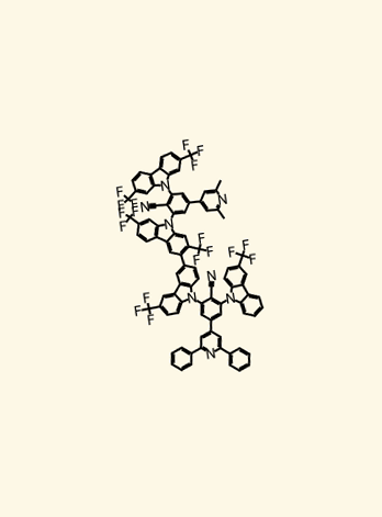 Cc1cc(-c2cc(-n3c4cc(C(F)(F)F)ccc4c4ccc(C(F)(F)F)cc43)c(C#N)c(-n3c4cc(C(F)(F)F)ccc4c4cc(-c5ccc6c(c5)c5cc(C(F)(F)F)ccc5n6-c5cc(-c6cc(-c7ccccc7)nc(-c7ccccc7)c6)cc(-n6c7ccccc7c7cc(C(F)(F)F)ccc76)c5C#N)c(C(F)(F)F)cc43)c2)cc(C)n1